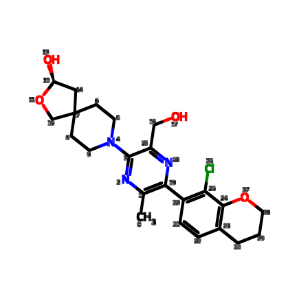 Cc1nc(N2CCC3(CC2)CO[C@@H](O)C3)c(CO)nc1-c1ccc2c(c1Cl)OCCC2